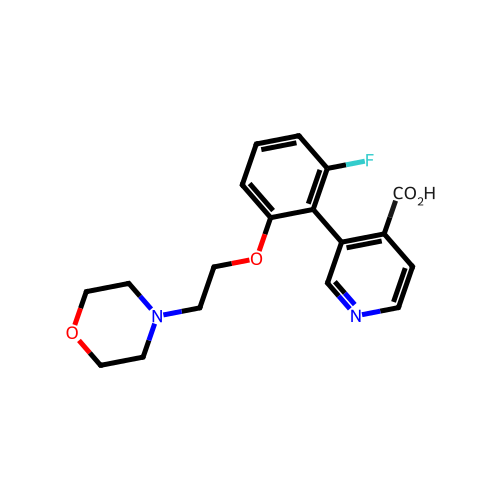 O=C(O)c1ccncc1-c1c(F)cccc1OCCN1CCOCC1